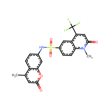 Cc1cc(=O)oc2cc(NS(=O)(=O)c3ccc4c(c3)c(C(F)(F)F)cc(=O)n4C)ccc12